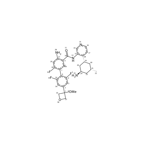 COC1(c2cc(F)c(-c3nc(C(=O)Nc4cnccc4[C@@H]4C[C@H](C)C[C@@H](N)C4)c(N)cc3F)c(F)c2)COC1